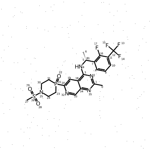 Cc1nc(N[C@H](C)c2cccc(C(F)(F)F)c2F)c2cc(P3(=O)CCN(S(C)(=O)=O)CC3)ncc2n1